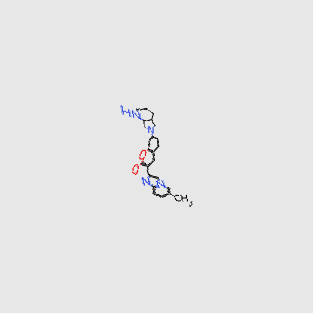 Cc1ccc2nc(-c3cc4ccc(N5CC6CCCNC6C5)cc4oc3=O)cn2c1